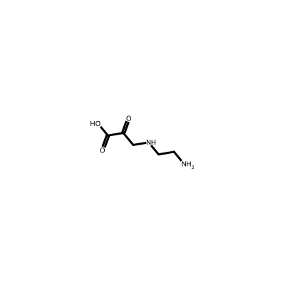 NCCNCC(=O)C(=O)O